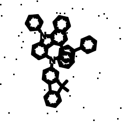 CC1(C)c2ccccc2-c2ccc(N(c3ccc(-c4ccccc4)cc3)c3cccc4c3c3c(-c5ccccc5)cc5ccccc5c3n4-c3ccccc3)cc21